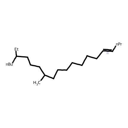 [CH2]CC/C=C/CCCCCCCC(C)CCCC(CC)CCC[CH2]